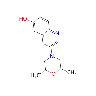 CC1CN(c2cnc3ccc(O)cc3c2)CC(C)O1